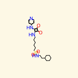 O=c1c(NCCCCCCS(=O)(=O)NCCC2CCCCC2)c(Nc2ccncc2)c1=O